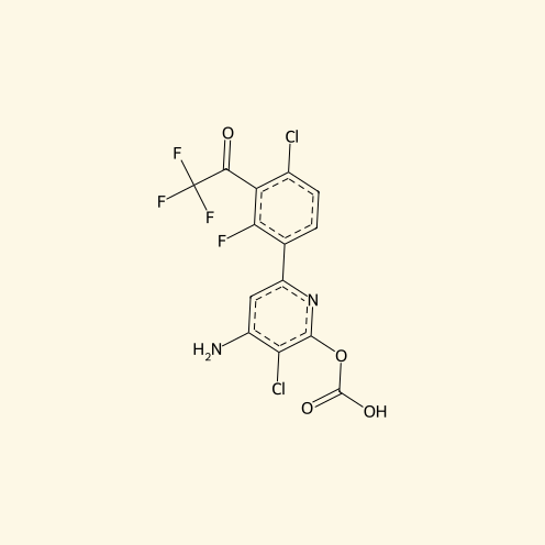 Nc1cc(-c2ccc(Cl)c(C(=O)C(F)(F)F)c2F)nc(OC(=O)O)c1Cl